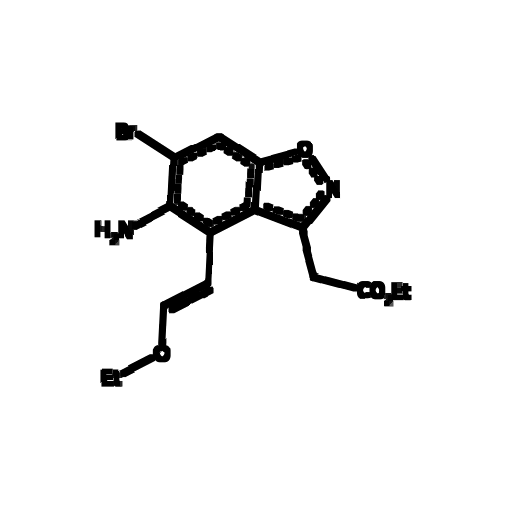 CCO/C=C/c1c(N)c(Br)cc2onc(CC(=O)OCC)c12